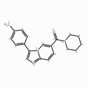 Cc1ccc(-c2cnc3ccc(C(=O)N4CCCCC4)cn23)cc1